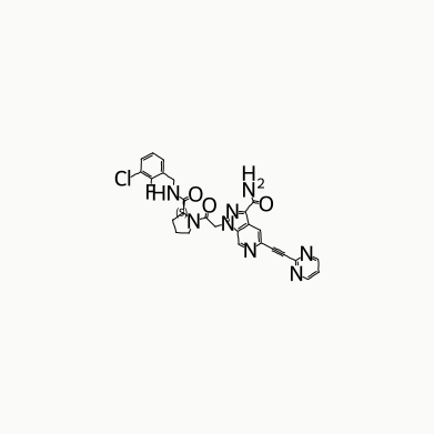 NC(=O)c1nn(CC(=O)N2CCC[C@H]2C(=O)NCc2cccc(Cl)c2F)c2cnc(C#Cc3ncccn3)cc12